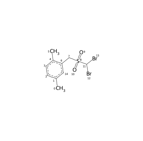 Cc1ccc(C)c(CS(=O)(=O)C(Br)Br)c1